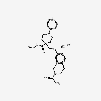 CCOC(=O)C1(COc2ccc3c(c2)CN(C(=N)N)CC3)CCN(c2ccncc2)CC1.Cl.Cl